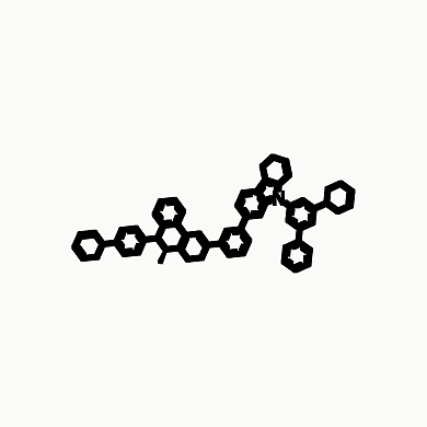 C[C@@H]1C2=C(C=C(c3cccc(-c4ccc5c6c(n(-c7cc(-c8ccccc8)cc(C8CC=CCC8)c7)c5c4)C=CCC6)c3)CC2)c2ccccc2C1c1ccc(C2C=CC=CC2)cc1